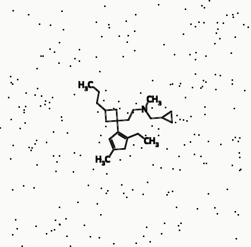 CCCC1CC(CCN(C)CC2CC2)(C2=C(CC)CC(C)=C2)C1